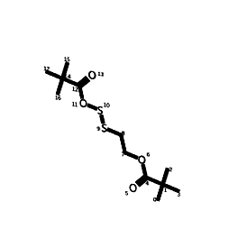 CC(C)(C)C(=O)OCCSSOC(=O)C(C)(C)C